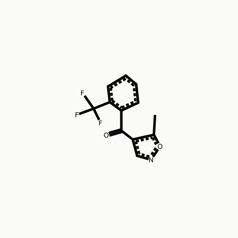 Cc1oncc1C(=O)c1ccccc1C(F)(F)F